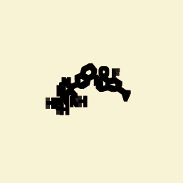 N=Cc1c(NPI)ncnc1-c1ccc2c(c1)CCCC2n1ccc2cc(C3CC3)cc(F)c2c1=O